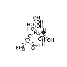 CCC(=O)SCc1ccc(OCCN(C[C@H](O)[C@@H](O)[C@H](O)[C@H](O)CO)C[C@H](O)[C@@H](O)[C@H](O)[C@H](O)CO)cc1CSC(=O)CC